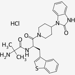 CC(C)(N)C(=O)N[C@H](Cc1csc2ccccc12)C(=O)N1CCC(n2c(=O)[nH]c3ccccc32)CC1.Cl